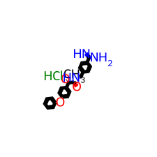 CO[C@H](C(=O)NCc1ccc(C(=N)N)cc1)c1ccc(Oc2ccccc2)cc1.Cl